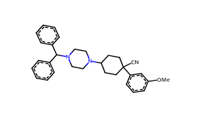 COc1cccc(C2(C#N)CCC(N3CCN(C(c4ccccc4)c4ccccc4)CC3)CC2)c1